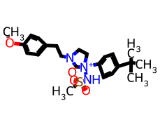 COc1ccc(CCN2CC[N+](NS(C)(=O)=O)(c3ccc(C(C)(C)C)cc3)C2=O)cc1